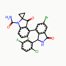 NC(=O)N1c2ccc(F)c(-c3cc(Br)cc4c3C(c3cc(F)ccc3Cl)NC4=O)c2C(=O)C12CC2